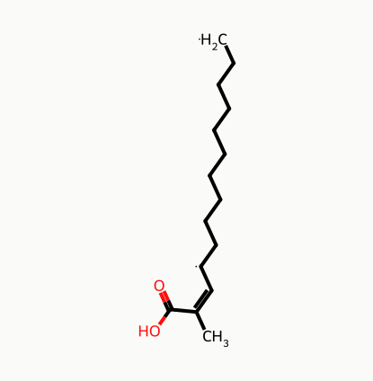 [CH2]CCCCCCCCC[CH]C=C(C)C(=O)O